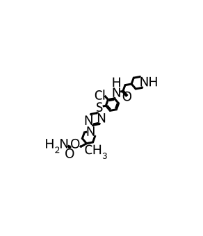 CC1(COC(N)=O)CCN(c2cnc(Sc3cccc(NC(=O)CC4CCNCC4)c3Cl)cn2)CC1